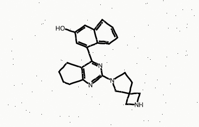 Oc1cc(-c2nc(N3CCC4(CNC4)C3)nc3c2CCCC3)c2ccccc2c1